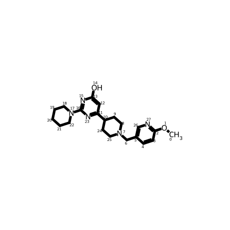 COc1ccc(CN2CCC(c3cc(O)nc(N4CCCCC4)n3)CC2)cn1